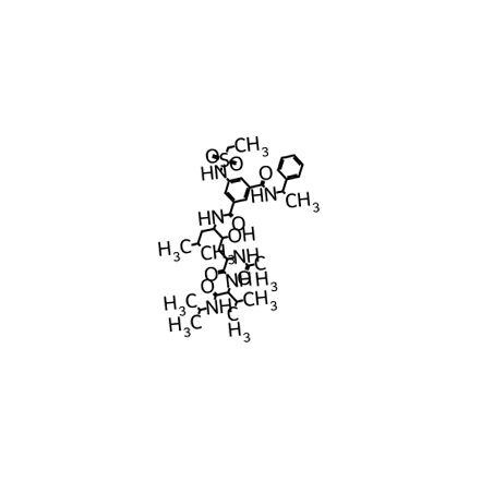 CCS(=O)(=O)Nc1cc(C(=O)NC(C)c2ccccc2)cc(C(=O)NC(CC(C)C)C(O)CC(NC(C)=O)C(=O)NC(C(=O)NC(C)C)C(C)C)c1